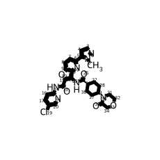 Cn1nccc1-c1ccc2oc(C(=O)Nc3ccc(Cl)cn3)c(NC(=O)[C@H]3CC[C@H](N4CCOCC4=O)CC3)c2n1